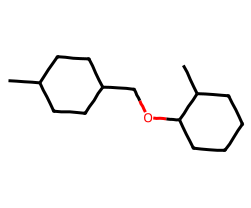 CC1CCC(COC2CCCCC2C)CC1